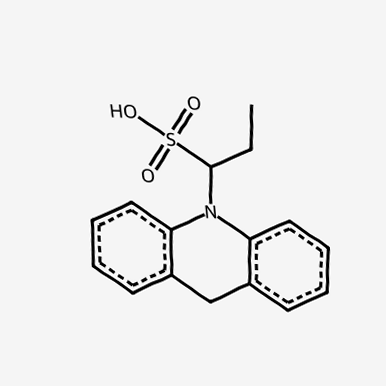 CCC(N1c2ccccc2Cc2ccccc21)S(=O)(=O)O